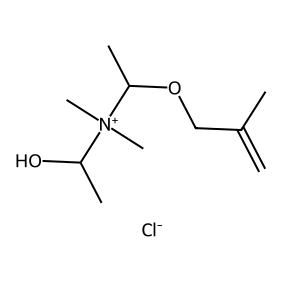 C=C(C)COC(C)[N+](C)(C)C(C)O.[Cl-]